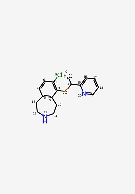 FC(F)(F)C(Sc1c(Cl)ccc2c1CCNCC2)c1ccccn1